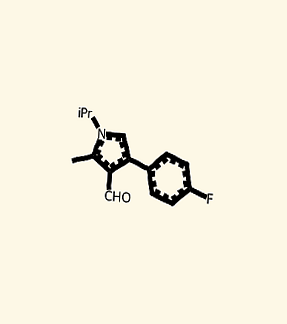 Cc1c(C=O)c(-c2ccc(F)cc2)cn1C(C)C